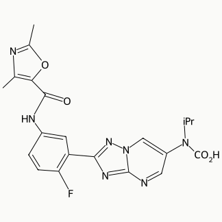 Cc1nc(C)c(C(=O)Nc2ccc(F)c(-c3nc4ncc(N(C(=O)O)C(C)C)cn4n3)c2)o1